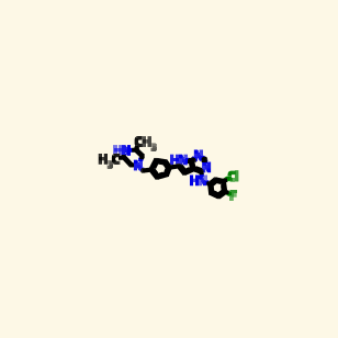 CC1CN(Cc2ccc(-c3cc4c(Nc5ccc(F)c(Cl)c5)ncnc4[nH]3)cc2)CC(C)N1